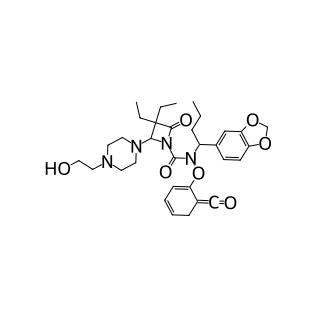 CCCC(c1ccc2c(c1)OCO2)N(OC1=CC=CCC1=C=O)C(=O)N1C(=O)C(CC)(CC)C1N1CCN(CCO)CC1